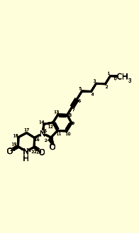 CCCCCCC#Cc1ccc2c(c1)CN(C1CCC(=O)NC1=O)C2=O